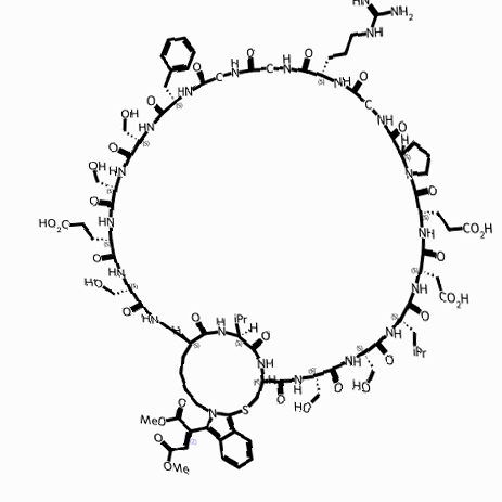 COC(=O)/C=C(\C(=O)OC)c1c2ccccc2c2n1CCCC[C@@H]1NC(=O)[C@H](CO)NC(=O)[C@H](CCC(=O)O)NC(=O)[C@H](CO)NC(=O)[C@H](CO)NC(=O)[C@H](Cc3ccccc3)NC(=O)CNC(=O)CNC(=O)[C@H](CCCNC(=N)N)NC(=O)CNC(=O)[C@@H]3CCCN3C(=O)[C@H](CCC(=O)O)NC(=O)[C@H](CC(=O)O)NC(=O)[C@H](CC(C)C)NC(=O)[C@H](CO)NC(=O)[C@H](CO)NC(=O)[C@H](CS2)NC(=O)[C@H](C(C)C)NC1=O